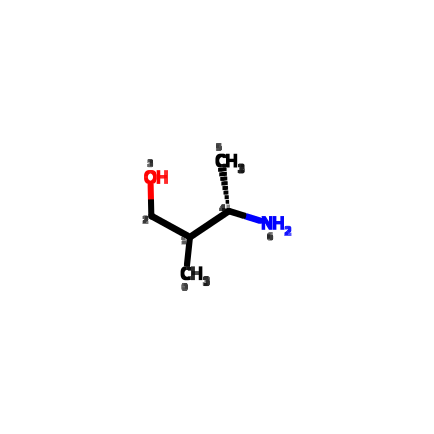 CC(CO)[C@H](C)N